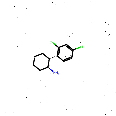 N[C@H]1CCCC[C@@H]1c1ccc(Cl)cc1Cl